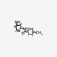 CN1CCC(C(=O)Nc2cc(N)ncn2)CC1